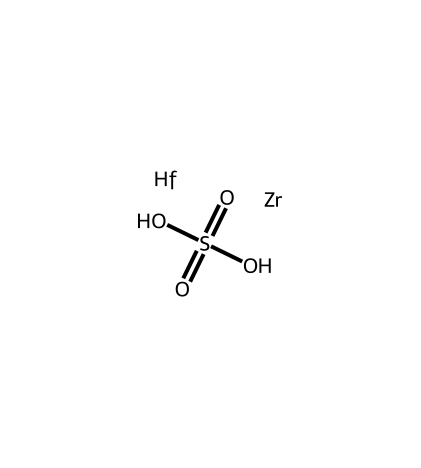 O=S(=O)(O)O.[Hf].[Zr]